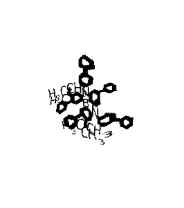 CC(C)(C)c1cc2c(cc1-c1ccccc1)B1c3cc(-c4ccccc4)c(C(C)(C)C)cc3N(c3ccc(-c4ccccc4)cc3)c3cc(-c4ccccc4)cc(c31)N2c1ccc(-c2ccccc2)cc1